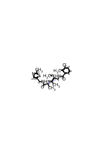 C=N/C(CNC(=O)c1cccc(Cl)c1C)=C(C)\N=C(/C)C(=O)NCc1cnc(C)s1